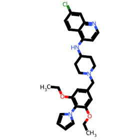 CCOc1cc(CN2CCC(Nc3ccnc4cc(Cl)ccc34)CC2)cc(OCC)c1-n1cccc1